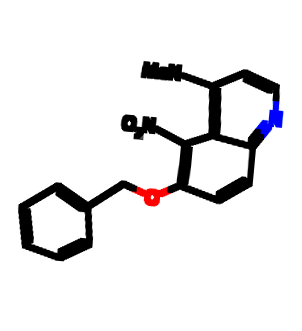 CNc1ccnc2ccc(OCc3ccccc3)c([N+](=O)[O-])c12